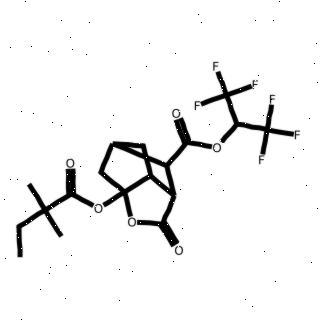 CCC(C)(C)C(=O)OC12CC3CC1C(C(=O)O2)C3C(=O)OC(C(F)(F)F)C(F)(F)F